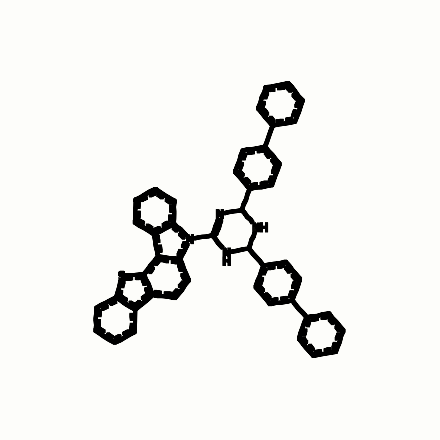 c1ccc(-c2ccc(C3N=C(n4c5ccccc5c5c6sc7ccccc7c6ccc54)NC(c4ccc(-c5ccccc5)cc4)N3)cc2)cc1